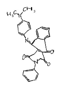 CN(C)c1ccc(N=c2c3c(=O)n(-c4ccccc4)c(=O)c=3c(=O)c3ccccc23)cc1